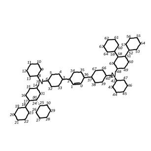 C1=CC(C2CCC(N(C3CCCCC3)C3CCC(C4CCCCC4)[C@@H](C4CCCCC4)C3)CC2)CCC1C1CCC(N(C2CCCCC2)C2CCC(C3CCCCC3)C(C3CCCCC3)C2)CC1